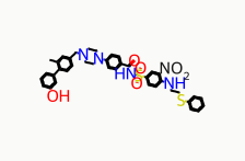 Cc1cc(CN2CCN(c3ccc(C(=O)NS(=O)(=O)c4ccc(NCCSc5ccccc5)c([N+](=O)[O-])c4)cc3)CC2)ccc1-c1cccc(O)c1